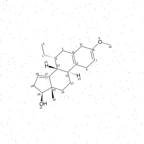 CC[C@@H]1CC2=C(CC=C(OC)C2)[C@H]2CC[C@@]3(C)C(=CC[C@@H]3O)[C@H]12